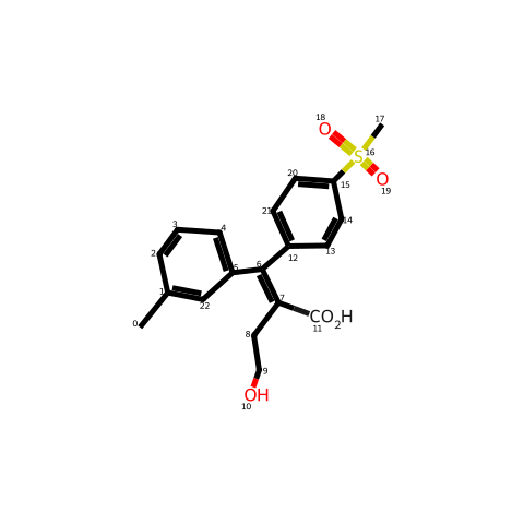 Cc1cccc(C(=C(CCO)C(=O)O)c2ccc(S(C)(=O)=O)cc2)c1